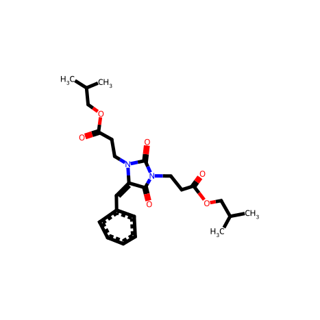 CC(C)COC(=O)CCN1C(=O)/C(=C\c2ccccc2)N(CCC(=O)OCC(C)C)C1=O